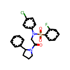 O=C(CN(c1ccc(Cl)cc1)S(=O)(=O)c1ccccc1F)N1CCCC1c1ccccc1